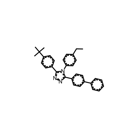 CCc1ccc(-n2c(-c3ccc(-c4ccccc4)cc3)nnc2-c2ccc(C(C)(C)C)cc2)cc1